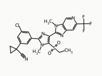 CCS(=O)(=O)c1c(-c2nc3cc(C(F)(F)F)ncc3n2C)nc(-c2cc(Cl)cc(C3(C#N)CC3)c2)n1C